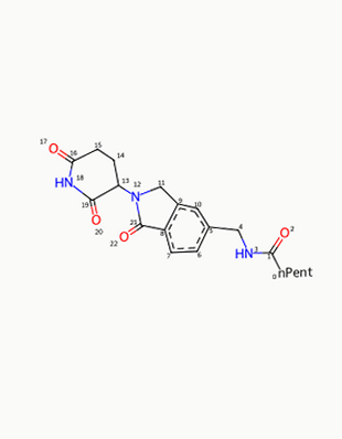 CCCCCC(=O)NCc1ccc2c(c1)CN(C1CCC(=O)NC1=O)C2=O